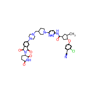 CC1CC(C(=O)Nc2ccc(N3CCC(CN4CCN(c5ccc6c(c5)C(=O)N(C5CCC(=O)NC5=O)C6=O)CC4)CC3)nn2)CC1Oc1ccc(C#N)c(Cl)c1